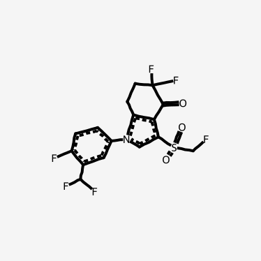 O=C1c2c(S(=O)(=O)CF)cn(-c3ccc(F)c(C(F)F)c3)c2CCC1(F)F